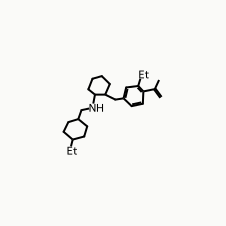 C=C(C)c1ccc(CC2CCCCC2NCC2CCC(CC)CC2)cc1CC